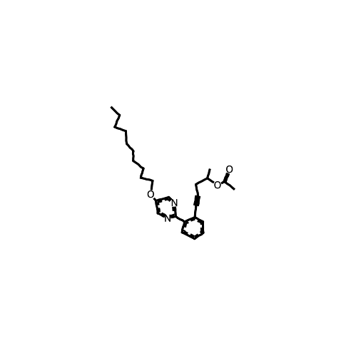 CCCCCCCCCCOc1cnc(-c2ccccc2C#CCC(C)OC(C)=O)nc1